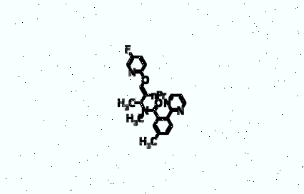 CCC/C(=C\Oc1ccc(F)cn1)C(C)N(C)C(=O)c1cc(C)ccc1-c1ncccn1